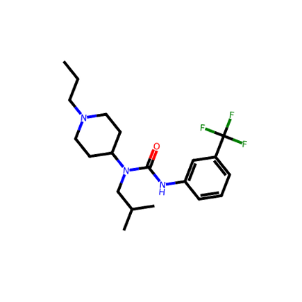 CCCN1CCC(N(CC(C)C)C(=O)Nc2cccc(C(F)(F)F)c2)CC1